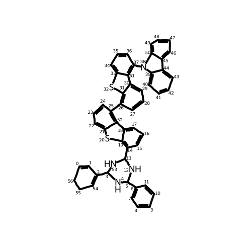 C1=CC(C2NC(c3ccccc3)NC(c3cccc4c3sc3cccc(-c5cccc6c5sc5cccc(-n7c8ccccc8c8ccccc87)c56)c34)N2)=CCC1